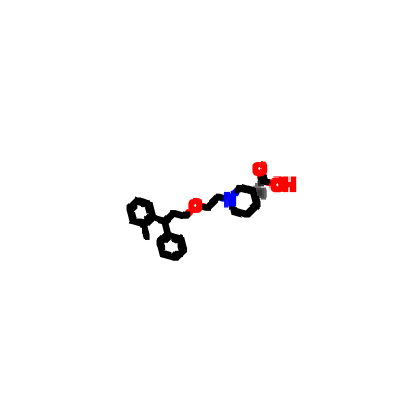 Cc1ccccc1C(CCOCCN1CCC[C@@H](C(=O)O)C1)c1ccccc1